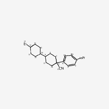 CCCc1ccc(C2(C#N)CCC(C3CCC(CC)CC3)CC2)cc1